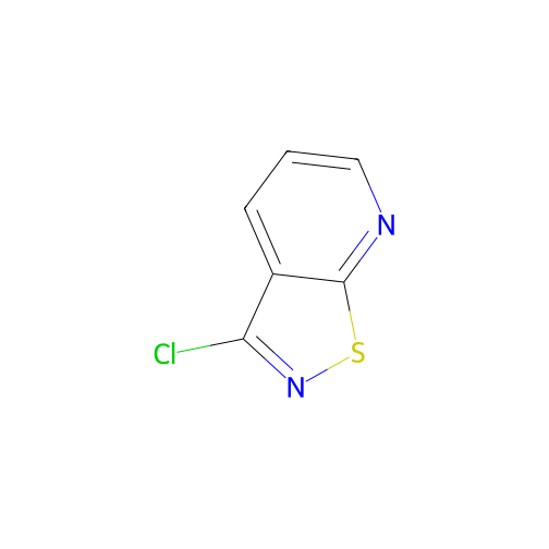 Clc1nsc2ncccc12